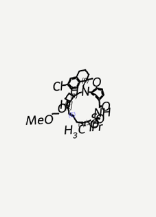 COCCO[C@H]1/C=C/C[C@H](C)[C@H](C(C)C)S(=O)(=O)NC(=O)c2ccc3c(c2)N(C[C@@H]2CC[C@H]21)C[C@@]1(CCCc2cc(Cl)ccc21)CO3